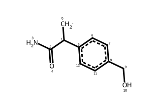 [CH2]C(C(N)=O)c1ccc(CO)cc1